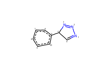 C1=NN=NC1c1ccccc1